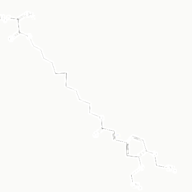 C=C(C)C(=O)OCCCCCCCCCCCOC(=O)/C=C/c1ccc(OCC)c(OCC)c1